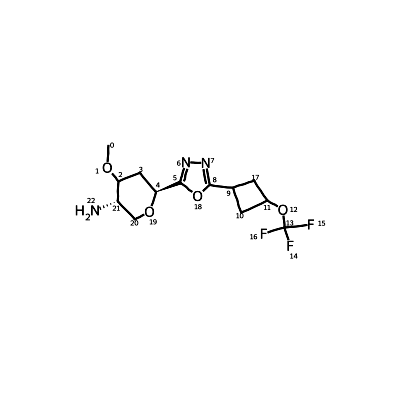 COC1C[C@@H](c2nnc(C3CC(OC(F)(F)F)C3)o2)OC[C@@H]1N